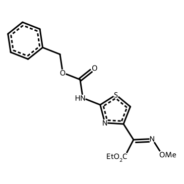 CCOC(=O)C(=NOC)c1csc(NC(=O)OCc2ccccc2)n1